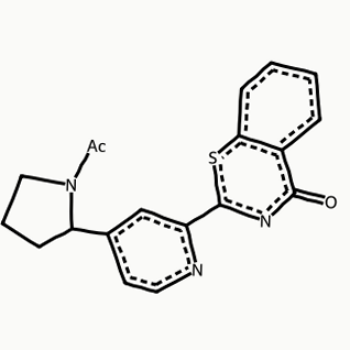 CC(=O)N1CCCC1c1ccnc(-c2nc(=O)c3ccccc3s2)c1